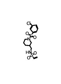 C=CS(=O)(=O)NCC1CCCN(S(=O)(=O)c2cccc(Cl)c2)C1